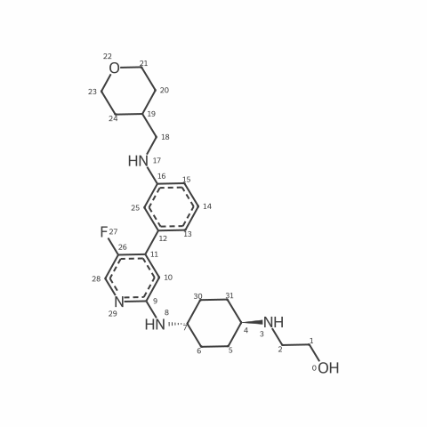 OCCN[C@H]1CC[C@H](Nc2cc(-c3cccc(NCC4CCOCC4)c3)c(F)cn2)CC1